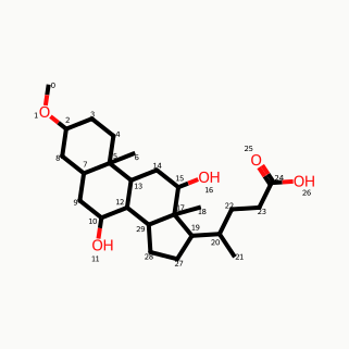 COC1CCC2(C)C(C1)CC(O)C1C2CC(O)C2(C)C(C(C)CCC(=O)O)CCC12